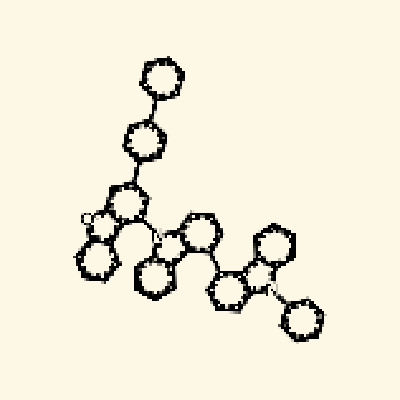 c1ccc(-c2ccc(-c3cc(-n4c5ccccc5c5c(-c6cccc7c6c6ccccc6n7-c6ccccc6)cccc54)c4c(c3)oc3ccccc34)cc2)cc1